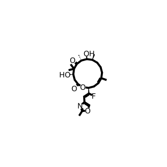 C/C1=C/C[C@@H](C(F)=Cc2coc(C)n2)OC(=O)C[C@H](O)C(C)(C)C(=O)[C@H](C)[C@@H](O)[C@@H](C)CCC1